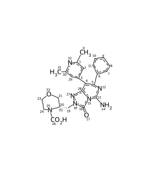 Cc1cc(-c2c(-c3ccccc3)nc(N)n3c(=O)n(C[C@H]4COCCN4C(=O)O)nc23)cc(C)n1